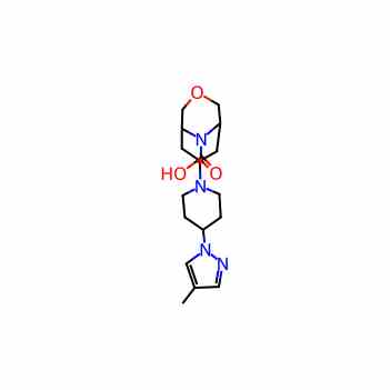 Cc1cnn(C2CCN(C3CC4COCC(C3)N4C(=O)O)CC2)c1